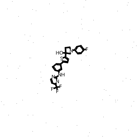 OC1(c2ccc(-c3cccc(Nc4nccc(C(F)(F)F)n4)c3)s2)CCN(c2ccc(F)cc2)C1